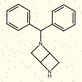 c1ccc(C(c2ccccc2)N2CC3NCC32)cc1